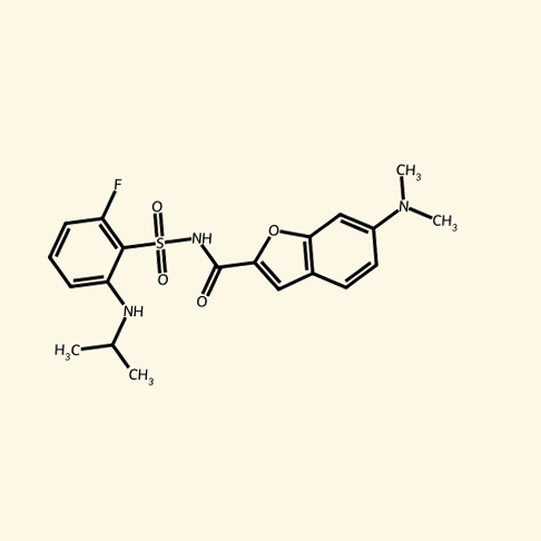 CC(C)Nc1cccc(F)c1S(=O)(=O)NC(=O)c1cc2ccc(N(C)C)cc2o1